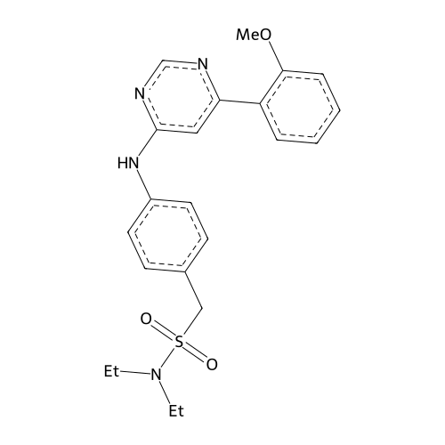 CCN(CC)S(=O)(=O)Cc1ccc(Nc2cc(-c3ccccc3OC)ncn2)cc1